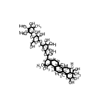 CC1OC(O[C@@H]2C(CO)OC(OCC3OC(OC(=O)C4CC(C)(C)CC5C6=CCC7C(CC(O)C8C(C)(CO)C(O)C(O)CC78C)C6(C)CCC45)[C@@H](O)[C@H](O)[C@@H]3O)[C@@H](O)[C@@H]2O)[C@@H](O)[C@@H](O)[C@H]1O